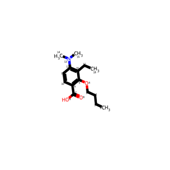 CCCCOc1c(C(=O)O)ccc(N(C)C)c1CC